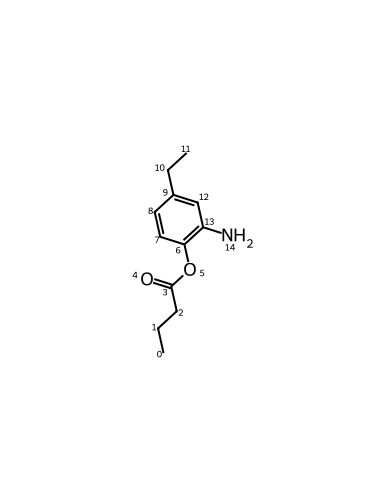 CCCC(=O)Oc1ccc(CC)cc1N